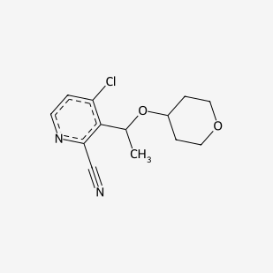 CC(OC1CCOCC1)c1c(Cl)ccnc1C#N